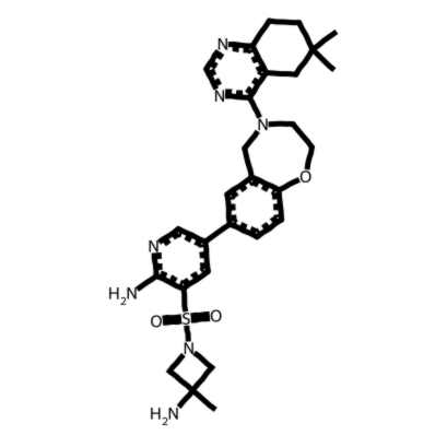 CC1(C)CCc2ncnc(N3CCOc4ccc(-c5cnc(N)c(S(=O)(=O)N6CC(C)(N)C6)c5)cc4C3)c2C1